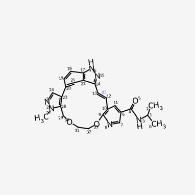 CC(C)NC(=O)c1cnc2c(c1)/C=C/c1n[nH]c3ccc(cc13)-c1cnn(C)c1COCCO2